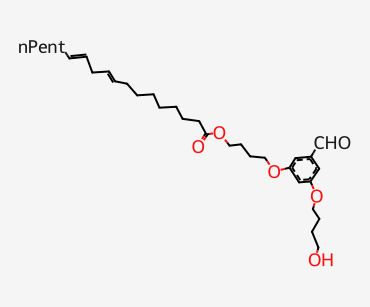 CCCCCC=CCC=CCCCCCCCC(=O)OCCCCOc1cc(C=O)cc(OCCCCO)c1